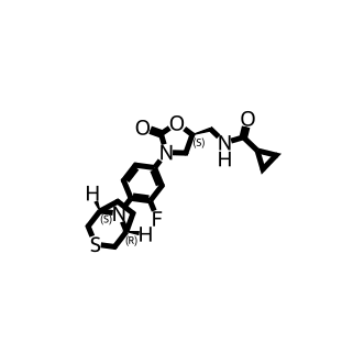 O=C(NC[C@H]1CN(c2ccc(N3[C@@H]4CC[C@H]3CSC4)c(F)c2)C(=O)O1)C1CC1